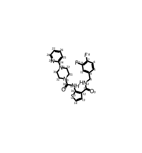 O=C(NCc1ccc(F)c(F)c1)c1ccsc1NC(=O)N1CCN(c2ccccn2)CC1